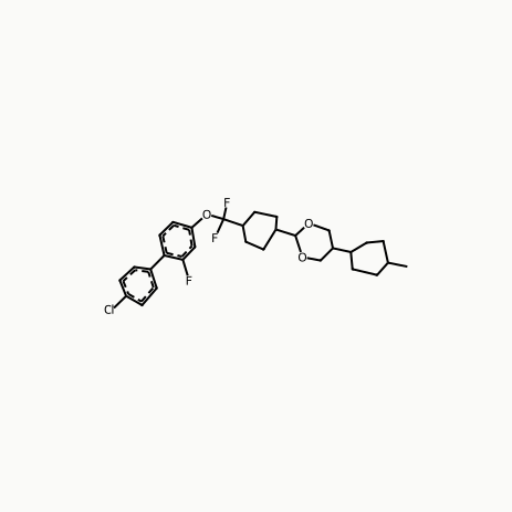 CC1CCC(C2COC(C3CCC(C(F)(F)Oc4ccc(-c5ccc(Cl)cc5)c(F)c4)CC3)OC2)CC1